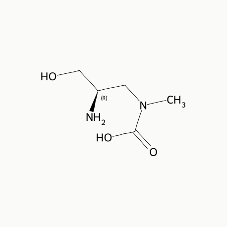 CN(C[C@@H](N)CO)C(=O)O